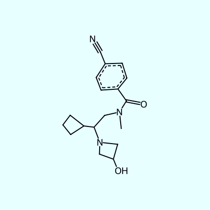 CN(CC(C1CCC1)N1CC(O)C1)C(=O)c1ccc(C#N)cc1